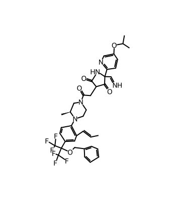 CC=Cc1cc(C(OCc2ccccc2)(C(F)(F)F)C(F)(F)F)ccc1N1CCN(C(=O)CC2C(=O)NC(C=N)(c3ccc(OC(C)C)cn3)C2=O)C[C@@H]1C